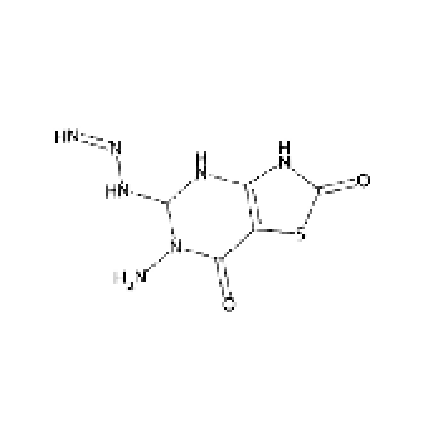 N=NNC1Nc2[nH]c(=O)sc2C(=O)N1N